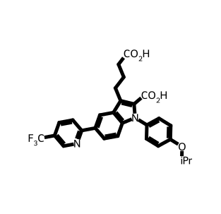 CC(C)Oc1ccc(-n2c(C(=O)O)c(CCCC(=O)O)c3cc(-c4ccc(C(F)(F)F)cn4)ccc32)cc1